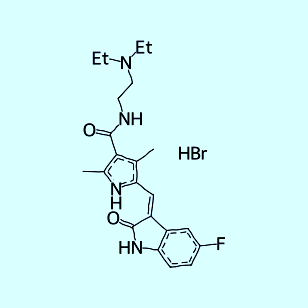 Br.CCN(CC)CCNC(=O)c1c(C)[nH]c(/C=C2\C(=O)Nc3ccc(F)cc32)c1C